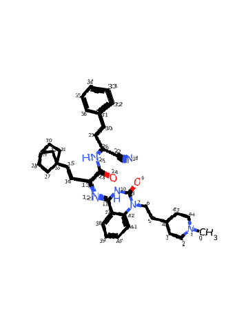 CN1CCC(CCn2c(=O)[nH]/c(=N\C(CCC34CCC(CC3)C4)C(=O)NC(C#N)CCc3ccccc3)c3ccccc32)CC1